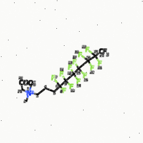 C[N+](C)(CCCC(F)(F)C(F)(F)C(F)(F)C(F)(F)C(F)(F)C(F)(F)C(F)(F)F)CC(=O)[O-]